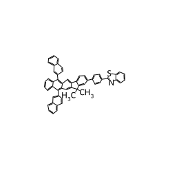 CC1(C)c2cc(-c3ccc(-c4nc5ccccc5s4)cc3)ccc2-c2cc3c(-c4ccc5ccccc5c4)c4ccccc4c(-c4ccc5ccccc5c4)c3cc21